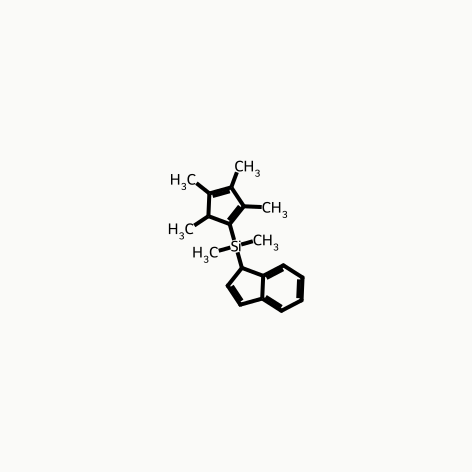 CC1=C(C)C(C)C([Si](C)(C)C2C=Cc3ccccc32)=C1C